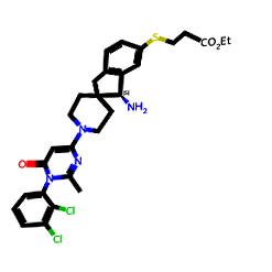 CCOC(=O)CCSc1ccc2c(c1)[C@@H](N)C1(CCN(c3cc(=O)n(-c4cccc(Cl)c4Cl)c(C)n3)CC1)C2